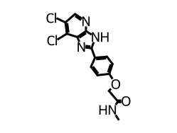 CNC(=O)COc1ccc(-c2nc3c(Cl)c(Cl)cnc3[nH]2)cc1